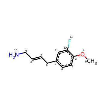 COc1ccc(CC=CCN)cc1F